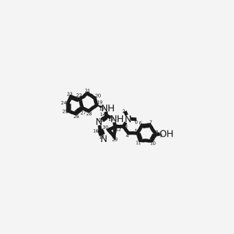 CN(C)C(Cc1ccc(O)cc1)C1(NC(=NC#N)N[C@@H]2CCc3ccccc3C2)CC1